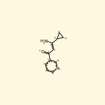 NC(=CC(=O)c1cccnc1)C1CC1